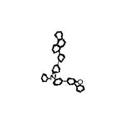 c1ccc(N(c2ccc(-c3cccc(-c4cccc5c4ccc4ccccc45)c3)cc2)c2cccc(-c3ccc4oc5ccccc5c4c3)c2)cc1